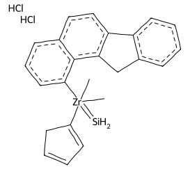 Cl.Cl.[CH3][Zr]([CH3])(=[SiH2])([C]1=CC=CC1)[c]1cccc2ccc3c(c12)Cc1ccccc1-3